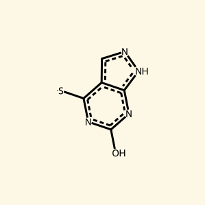 Oc1nc([S])c2cn[nH]c2n1